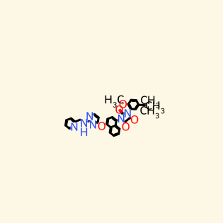 COc1ccc(C(C)(C)C)cc1N1C(=O)C(=O)N(c2ccc(Oc3ccnc(NCc4ccccn4)n3)c3ccccc23)C1=O